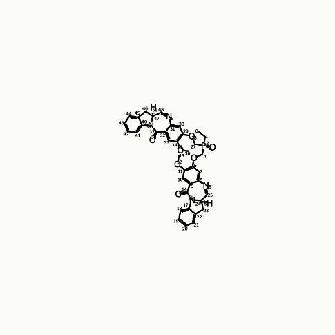 CCP(=O)(COc1cc2c(cc1OC)C(=O)N1c3ccccc3C[C@H]1C=N2)COc1cc2c(cc1OC)C(=O)N1c3ccccc3C[C@H]1C=N2